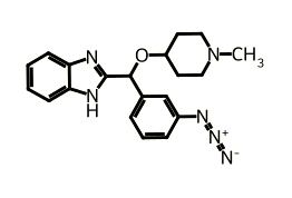 CN1CCC(OC(c2cccc(N=[N+]=[N-])c2)c2nc3ccccc3[nH]2)CC1